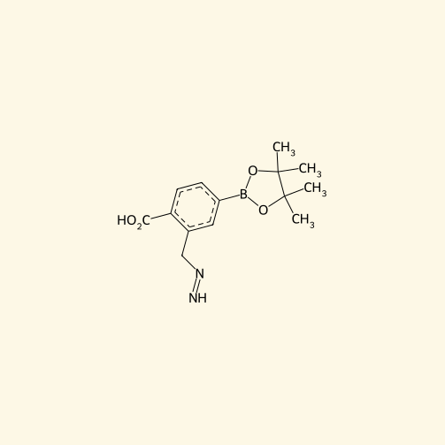 CC1(C)OB(c2ccc(C(=O)O)c(CN=N)c2)OC1(C)C